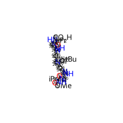 COC(=O)N[C@H](C(=O)N1CCC[C@H]1c1cc(-c2ccc(-c3ccc(-c4ccc(-c5cc([C@@H]6CCCN6C(=O)[C@@H](NC(=O)O)C(C)C)[nH]n5)cc4)n3-c3ccc(C(C)(C)C)cc3)cc2)n[nH]1)C(C)C